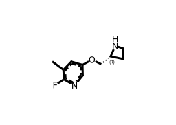 Cc1cc(OC[C@H]2CCN2)cnc1F